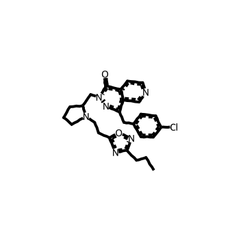 CCCc1noc(CCN2CCCC2Cn2nc(Cc3ccc(Cl)cc3)c3cnccc3c2=O)n1